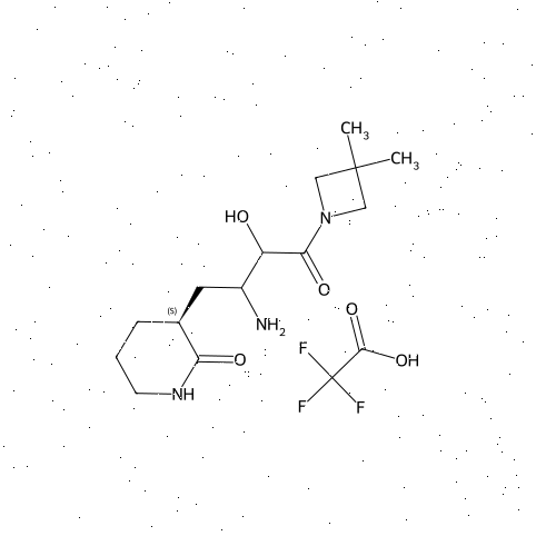 CC1(C)CN(C(=O)C(O)C(N)C[C@@H]2CCCNC2=O)C1.O=C(O)C(F)(F)F